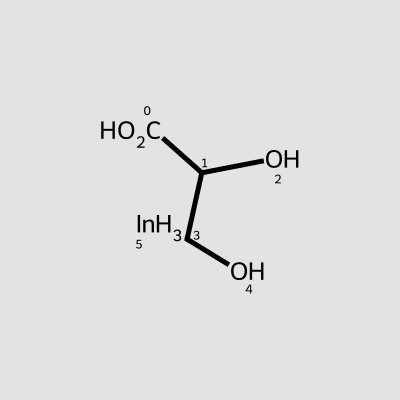 O=C(O)C(O)CO.[InH3]